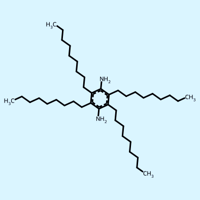 CCCCCCCCCc1c(N)c(CCCCCCCCC)c(CCCCCCCCC)c(N)c1CCCCCCCCC